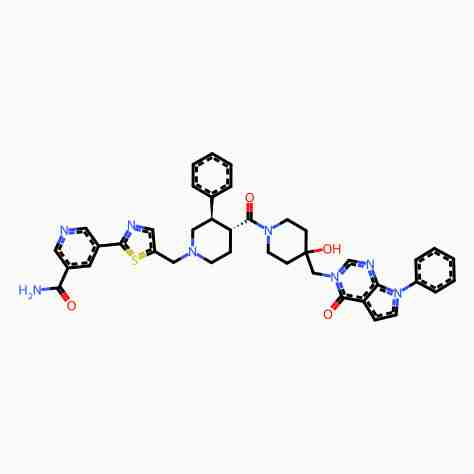 NC(=O)c1cncc(-c2ncc(CN3CC[C@@H](C(=O)N4CCC(O)(Cn5cnc6c(ccn6-c6ccccc6)c5=O)CC4)[C@H](c4ccccc4)C3)s2)c1